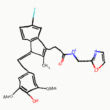 COc1cc(C=C2C(C)=C(CC(=O)NCc3ncco3)c3cc(F)ccc32)cc(OC)c1O